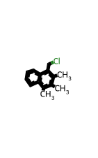 Cc1c(C)c(CCl)c2ccccc2c1C